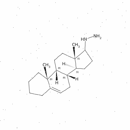 C[C@]12CCCCC1=CC[C@@H]1[C@H]2CC[C@]2(C)C(NN)CC[C@@H]12